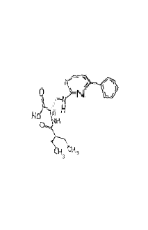 CCC(CC)C(=O)N[C@@H](CNc1nccc(-c2ccccc2)n1)C(=O)O